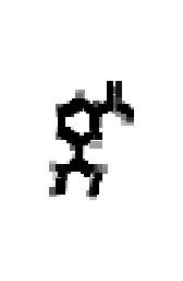 C=N/C(=N\C)c1cccc(NC)n1